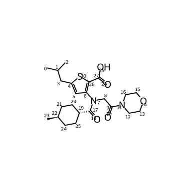 CC(C)Cc1cc(N(CC(=O)N2CCOCC2)C(=O)[C@H]2CC[C@H](C)CC2)c(C(=O)O)s1